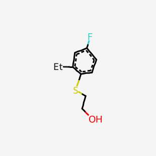 CCc1cc(F)ccc1SCCO